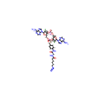 [N-]=[N+]=NCCCCCC(=O)NCC(=O)Nc1ccc(CS[P@]2(=O)OCC3O[C@@H](n4cnc5c(N)ncnc54)[C@H](F)[C@@H]3O[PH](=O)OC[C@H]3O[C@@H](n4cnc5c(N)ncnc54)[C@H](F)[C@@H]3O2)cc1